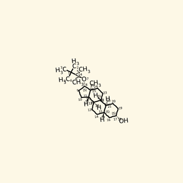 CC(C)(C)[Si](C)(C)O[C@H]1CC[C@H]2[C@@H]3CC[C@H]4C[C@@H](O)CC[C@@H]4[C@H]3CC[C@]12C